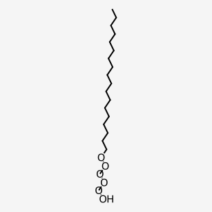 CCCCCCCCCCCCCCCCCCOOOOOO